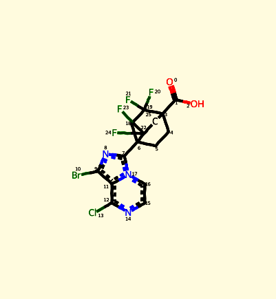 O=C(O)C12CCC(c3nc(Br)c4c(Cl)nccn34)(CC1(F)F)C(F)(F)C2